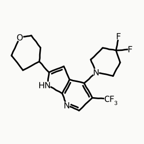 FC1(F)CCN(c2c(C(F)(F)F)cnc3[nH]c(C4CCOCC4)cc23)CC1